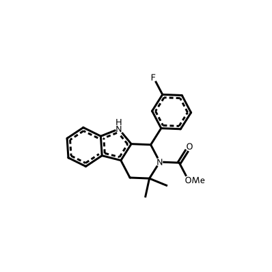 COC(=O)N1C(c2cccc(F)c2)c2[nH]c3ccccc3c2CC1(C)C